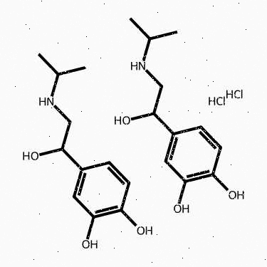 CC(C)NCC(O)c1ccc(O)c(O)c1.CC(C)NCC(O)c1ccc(O)c(O)c1.Cl.Cl